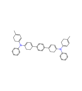 CC1=CC=C(N(C2=CC=C(c3ccc(C4=CC=C(N(C5=CC=C(C)CC5)c5ccccc5)CC4)cc3)CC2)c2ccccc2)CC1